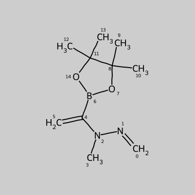 C=NN(C)C(=C)B1OC(C)(C)C(C)(C)O1